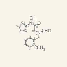 Cc1ccccc1CN(C=O)CC(=O)N(C)c1nccs1